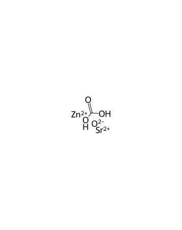 O=C(O)O.[O-2].[Sr+2].[Zn+2]